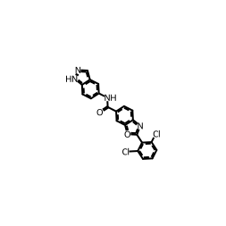 O=C(Nc1ccc2[nH]ncc2c1)c1ccc2nc(-c3c(Cl)cccc3Cl)oc2c1